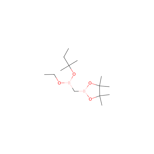 CCOB(CB1OC(C)(C)C(C)(C)O1)OC(C)(C)CC